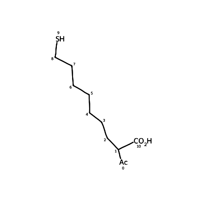 CC(=O)C(CCCCCCCS)C(=O)O